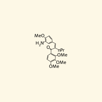 CCCC(=Cc1ccc(OC)c(N)c1)C(=O)c1ccc(OC)c(OC)c1OC